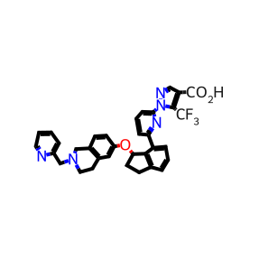 O=C(O)c1cnn(-c2cccc(-c3cccc4c3C(Oc3ccc5c(c3)CCN(Cc3ccccn3)C5)CC4)n2)c1C(F)(F)F